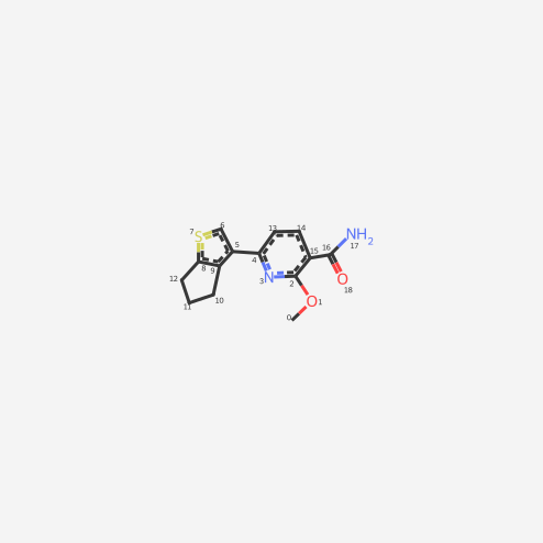 COc1nc(-c2csc3c2CCC3)ccc1C(N)=O